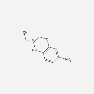 Nc1ccc2c(c1)OC[C@@H](CO)N2